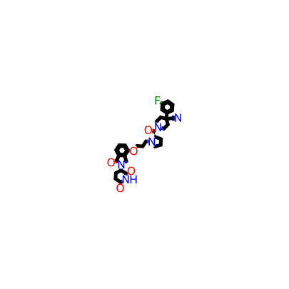 N#CC1(c2cccc(F)c2)CCN(C(=O)[C@@H]2CCCN2CCCOc2cccc3c2CN(C2CCC(=O)NC2=O)C3=O)CC1